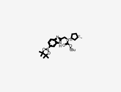 C[C@H]1CC[C@@H](N(Cc2nc3ccc(B4OC(C)(C)C(C)(C)O4)cc3[nH]2)C(=O)OC(C)(C)C)C1